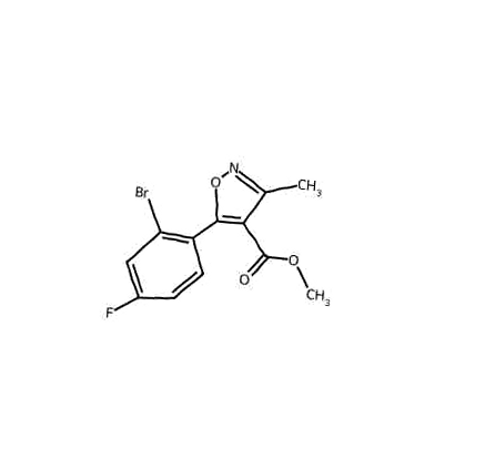 COC(=O)c1c(C)noc1-c1ccc(F)cc1Br